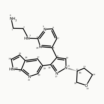 NCCNc1nccc(-c2cn([C@@H]3CCOC3)nc2-c2cnc3[nH]ccc3c2)n1